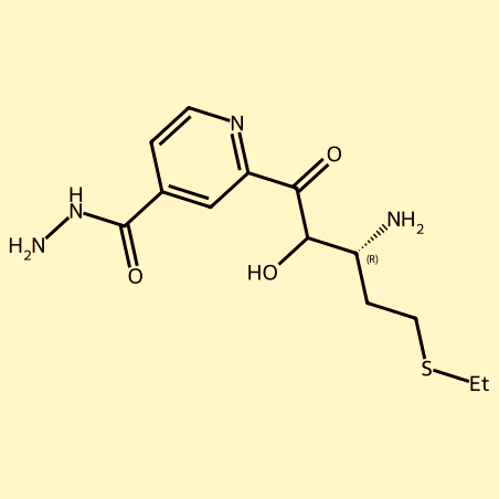 CCSCC[C@@H](N)C(O)C(=O)c1cc(C(=O)NN)ccn1